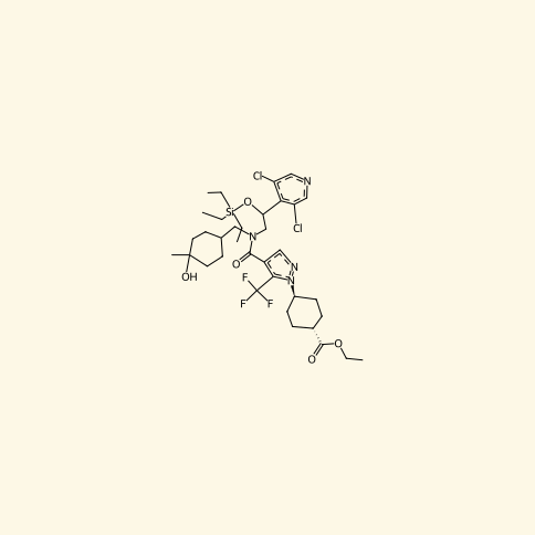 CCOC(=O)[C@H]1CC[C@H](n2ncc(C(=O)N(CC3CCC(C)(O)CC3)CC(O[Si](CC)(CC)CC)c3c(Cl)cncc3Cl)c2C(F)(F)F)CC1